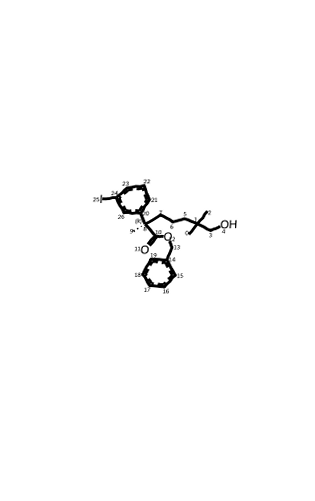 CC(C)(CO)CCC[C@@](C)(C(=O)OCc1ccccc1)c1cccc(I)c1